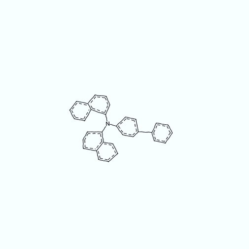 c1ccc(-c2ccc(N(c3cccc4ccccc34)c3cccc4ccccc34)cc2)cc1